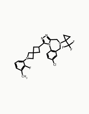 Cc1cccc(N2CC3(CC(c4nnc5n4-c4ccc(Cl)cc4CN(C4(C(F)(F)F)CC4)C5)C3)C2)c1F